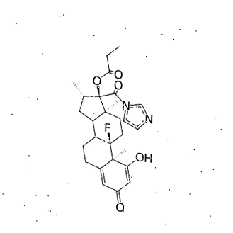 CCC(=O)O[C@]1(C(=O)n2ccnc2)[C@@H](C)CC2C3CCC4=CC(=O)C=C(O)[C@]4(C)[C@@]3(F)CC[C@@]21C